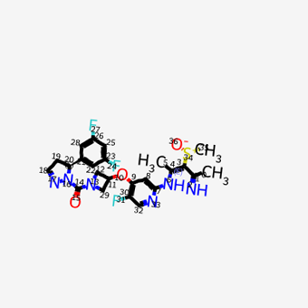 CC(=N)/C(=C(/C)Nc1cc(OC2CN(C(=O)N3N=CC[C@H]3c3cc(F)cc(F)c3)C2)c(F)cn1)[S+](C)[O-]